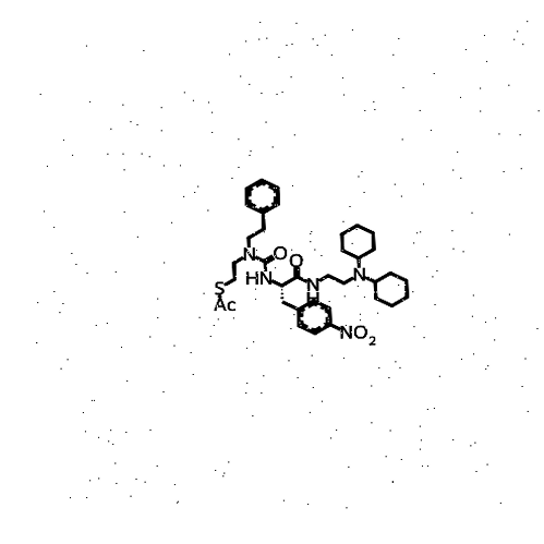 CC(=O)SCCN(CCc1ccccc1)C(=O)N[C@@H](Cc1ccc([N+](=O)[O-])cc1)C(=O)NCCN(C1CCCCC1)C1CCCCC1